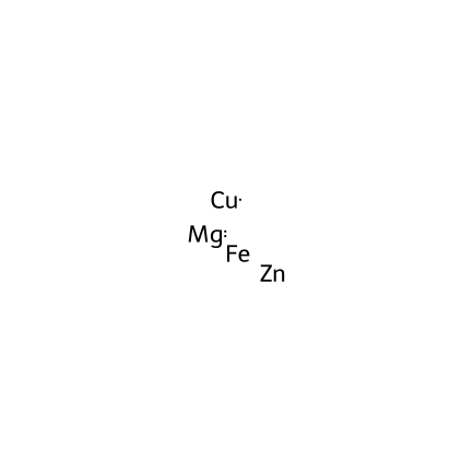 [Cu].[Fe].[Mg].[Zn]